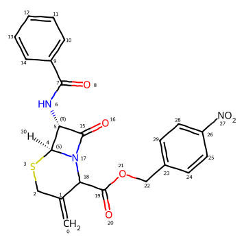 C=C1CS[C@H]2[C@H](NC(=O)c3ccccc3)C(=O)N2C1C(=O)OCc1ccc([N+](=O)[O-])cc1